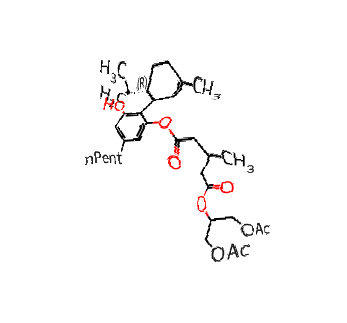 C=C(C)[C@@H]1CCC(C)=CC1c1c(O)cc(CCCCC)cc1OC(=O)CC(C)CC(=O)OC(COC(C)=O)COC(C)=O